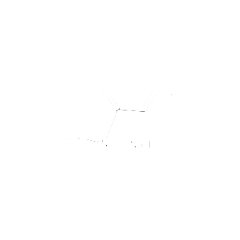 C=CC(=O)NC.[NaH]